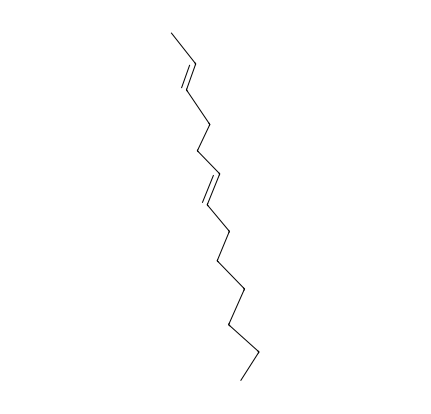 C/C=C/CC/C=C/CCCCCC